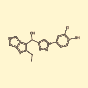 CCc1sc2cncn2c1C(O)c1cn(-c2ccc(O)c(Cl)c2)nn1